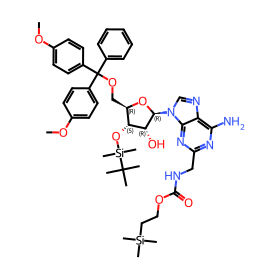 COc1ccc(C(OC[C@H]2O[C@@H](n3cnc4c(N)nc(CNC(=O)OCC[Si](C)(C)C)nc43)[C@H](O)[C@@H]2O[Si](C)(C)C(C)(C)C)(c2ccccc2)c2ccc(OC)cc2)cc1